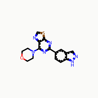 c1nc2c(N3CCOCC3)nc(-c3ccc4[nH]ncc4c3)nc2s1